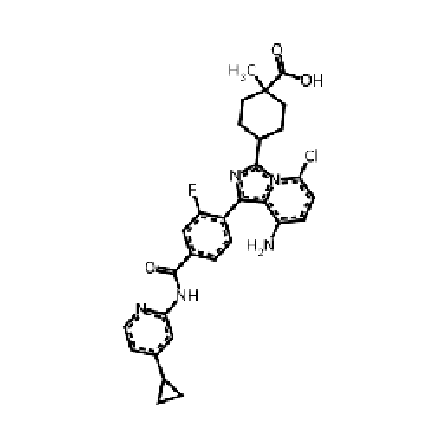 CC1(C(=O)O)CCC(c2nc(-c3ccc(C(=O)Nc4cc(C5CC5)ccn4)cc3F)c3c(N)ccc(Cl)n23)CC1